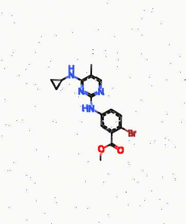 COC(=O)c1cc(Nc2ncc(C)c(NC3CC3)n2)ccc1Br